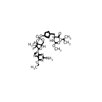 CCOc1nc(N)nc2c1ncn2[C@@H]1O[C@@H]2COP(=O)(Oc3ccc(C[C@H](NC(=O)OC)C(=O)OC(C)C)cc3)O[C@H]2[C@@]1(C)F